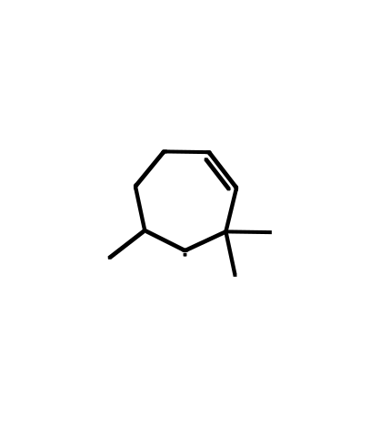 CC1[CH]C(C)(C)C=CCC1